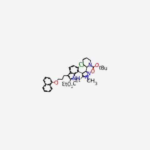 CCOC(=O)c1[nH]c2c(-c3c(C4CCCCN4C(=O)OC(C)(C)C)nn(C)c3CC)c(Cl)ccc2c1CCCOc1cccc2ccccc12